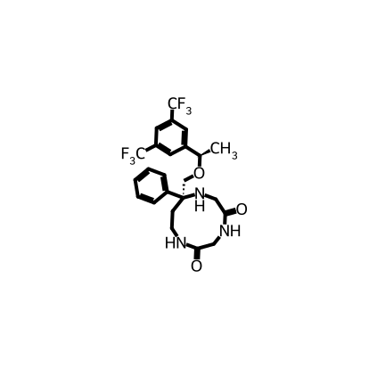 C[C@@H](OC[C@@]1(c2ccccc2)CCNC(=O)CNC(=O)CN1)c1cc(C(F)(F)F)cc(C(F)(F)F)c1